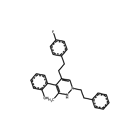 CC1=C(c2ccccc2O)C(CCc2ccc(F)cc2)=CN(CCc2ccccc2)N1